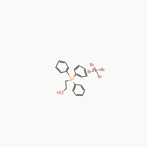 OCC[P+](c1ccccc1)(c1ccccc1)c1ccccc1.[Br][Fe-]([Br])([Br])[Br]